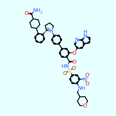 NC(=O)C1CCC(c2ccccc2[C@H]2CCCN2c2ccc(-c3ccc(C(=O)NS(=O)(=O)c4ccc(NCC5CCOCC5)c([N+](=O)[O-])c4)c(Oc4cnc5[nH]ccc5c4)c3)cc2)CC1